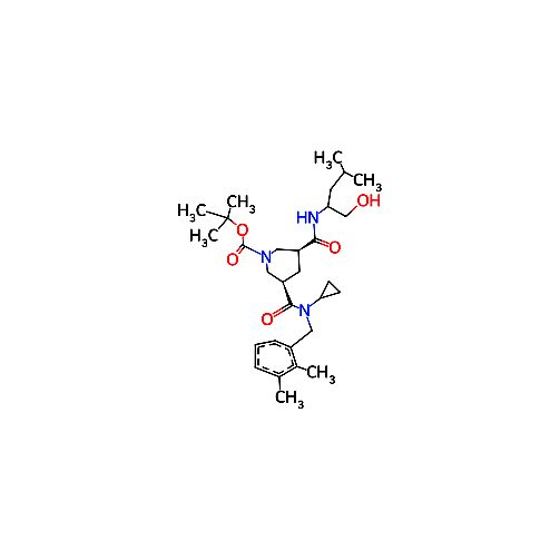 Cc1cccc(CN(C(=O)[C@@H]2C[C@H](C(=O)NC(CO)CC(C)C)CN(C(=O)OC(C)(C)C)C2)C2CC2)c1C